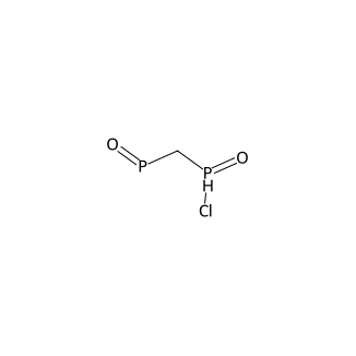 O=PC[PH](=O)Cl